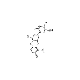 N#Cc1nn(-c2cc(Cl)c(Oc3ccc(=O)n(C4CC4)c3)c(Cl)c2)c(=O)[nH]c1=O